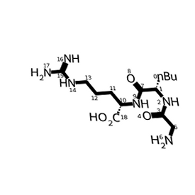 CCCC[C@H](NC(=O)CN)C(=O)N[C@@H](CCCNC(=N)N)C(=O)O